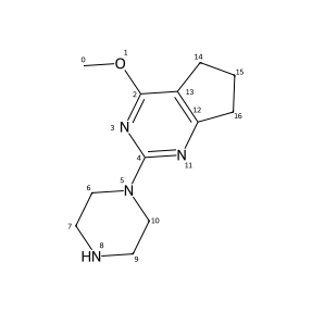 COc1nc(N2CCNCC2)nc2c1CCC2